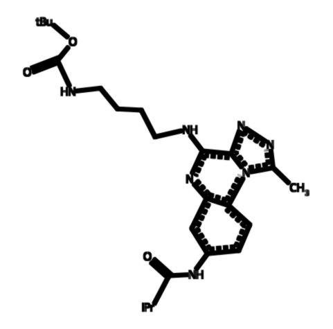 Cc1nnc2c(NCCCCNC(=O)OC(C)(C)C)nc3cc(NC(=O)C(C)C)ccc3n12